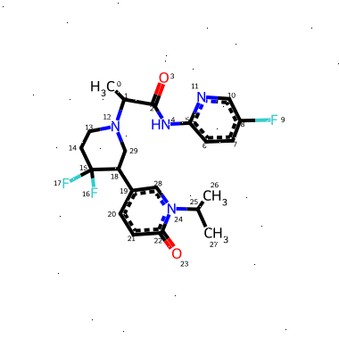 CC(C(=O)Nc1ccc(F)cn1)N1CCC(F)(F)C(c2ccc(=O)n(C(C)C)c2)C1